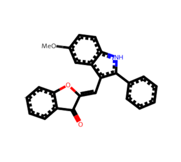 COc1ccc2[nH]c(-c3ccccc3)c(C=C3Oc4c[c]ccc4C3=O)c2c1